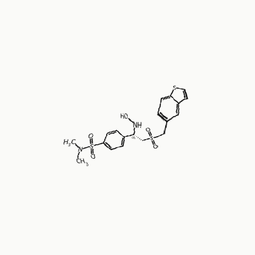 CN(C)S(=O)(=O)c1ccc([C@@H](CS(=O)(=O)Cc2ccc3sccc3c2)NO)cc1